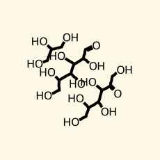 O=C(CO)C(O)C(O)C(O)CO.O=CC(O)C(O)C(O)C(O)CO.OCC(O)CO